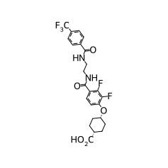 O=C(NCCNC(=O)c1ccc(O[C@H]2CC[C@@H](C(=O)O)CC2)c(F)c1F)c1ccc(C(F)(F)F)cc1